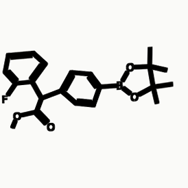 COC(=O)C(c1ccc(B2OC(C)(C)C(C)(C)O2)cc1)c1ccccc1F